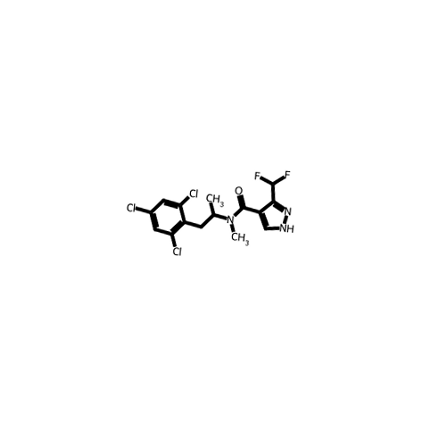 CC(Cc1c(Cl)cc(Cl)cc1Cl)N(C)C(=O)c1c[nH]nc1C(F)F